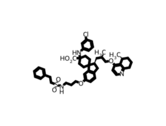 C[C@@H](COc1ccnc2c1[C@H](C)CCC2)C[C@H]1Cc2ccc(OCCCNS(=O)(=O)CCc3ccccc3)cc2C12CCC(Nc1cccc(Cl)c1)(C(=O)O)CC2